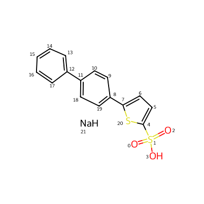 O=S(=O)(O)c1ccc(-c2ccc(-c3ccccc3)cc2)s1.[NaH]